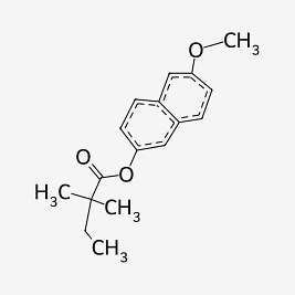 CCC(C)(C)C(=O)Oc1ccc2cc(OC)ccc2c1